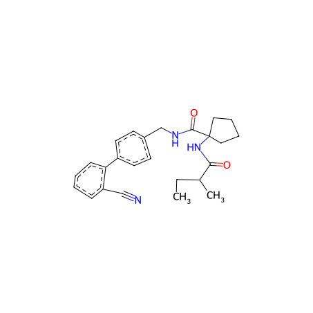 CCC(C)C(=O)NC1(C(=O)NCc2ccc(-c3ccccc3C#N)cc2)CCCC1